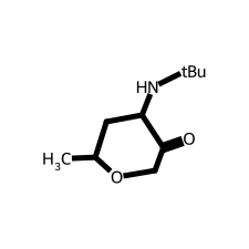 CC1CC(NC(C)(C)C)C(=O)CO1